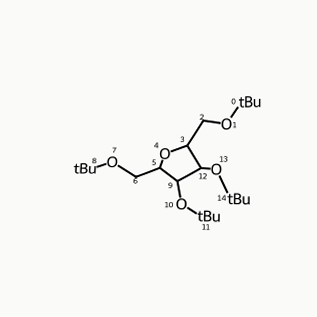 CC(C)(C)OCC1OC(COC(C)(C)C)C(OC(C)(C)C)C1OC(C)(C)C